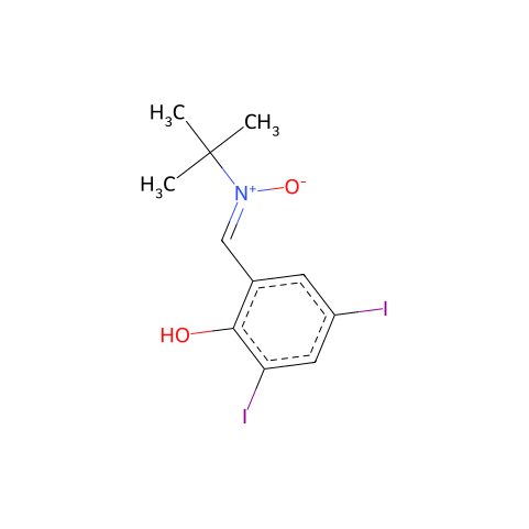 CC(C)(C)[N+]([O-])=Cc1cc(I)cc(I)c1O